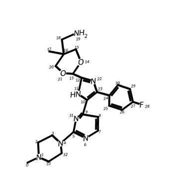 CN1CCN(c2nccc(-c3[nH]c(C4OCC(C)(CN)CO4)nc3-c3ccc(F)cc3)n2)CC1